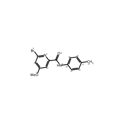 COc1cc(Br)nc(C(=O)Nc2ccc(C)cc2)c1